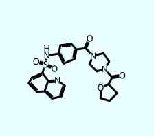 O=C(c1ccc(NS(=O)(=O)c2cccc3cccnc23)cc1)N1CCN(C(=O)C2CCCO2)CC1